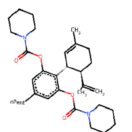 C=C(C)[C@@H]1CCC(C)=C[C@H]1c1c(OC(=O)N2CCCCC2)cc(CCCCC)cc1OC(=O)N1CCCCC1